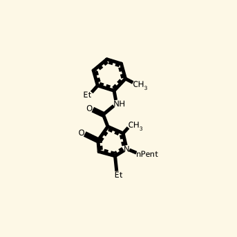 CCCCCn1c(CC)cc(=O)c(C(=O)Nc2c(C)cccc2CC)c1C